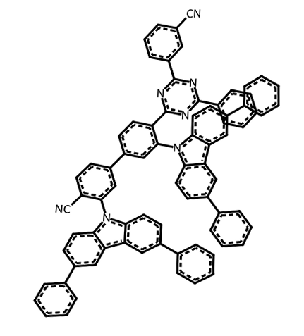 N#Cc1cccc(-c2nc(-c3ccccc3)nc(-c3ccc(-c4ccc(C#N)c(-n5c6ccc(-c7ccccc7)cc6c6cc(-c7ccccc7)ccc65)c4)cc3-n3c4ccc(-c5ccccc5)cc4c4cc(-c5ccccc5)ccc43)n2)c1